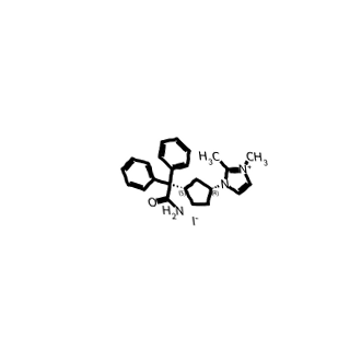 Cc1n([C@@H]2CC[C@H](C(C(N)=O)(c3ccccc3)c3ccccc3)C2)cc[n+]1C.[I-]